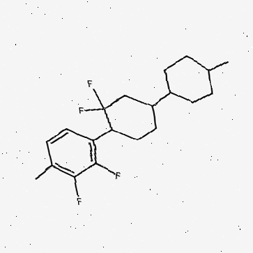 Cc1ccc(C2CCC(C3CCC(C)CC3)CC2(F)F)c(F)c1F